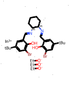 CC(C)(C)c1cc(Br)c(O)c(C=N[C@@H]2CCCC[C@H]2N=Cc2cc(C(C)(C)C)cc(Br)c2O)c1.CC[O-].CC[O-].CC[O-].[In+3]